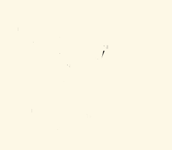 CC(C)(C)OC(=O)N1c2cc(F)c(Cl)c(Br)c2C[C@]1(c1ccccc1)[C@@H](N)CCCO